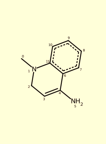 CN1CC=C(N)c2ccccc21